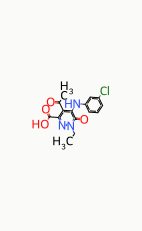 CCn1nc(C(=O)O)c(C(C)=O)c(Nc2cccc(Cl)c2)c1=O